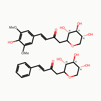 COc1cc(C=CC(=O)CC2OC[C@@H](O)[C@H](O)[C@H]2O)cc(OC)c1O.O=C(/C=C/c1ccccc1)CC1OC[C@@H](O)[C@H](O)[C@H]1O